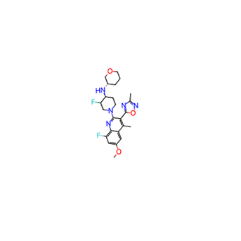 COc1cc(F)c2nc(N3CC[C@H](N[C@H]4CCCOC4)[C@H](F)C3)c(-c3nc(C)no3)c(C)c2c1